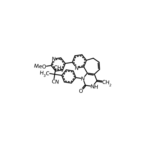 C=C1NC(=O)N(c2ccc(C(C)(C)C#N)cc2)C2=C1C=CCc1ccc(-c3ccc(OC)nc3)nc12